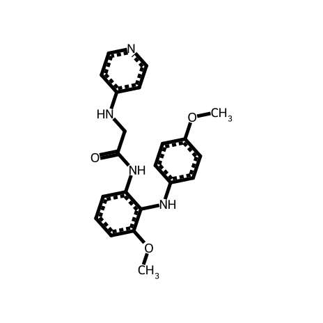 COc1ccc(Nc2c(NC(=O)CNc3ccncc3)cccc2OC)cc1